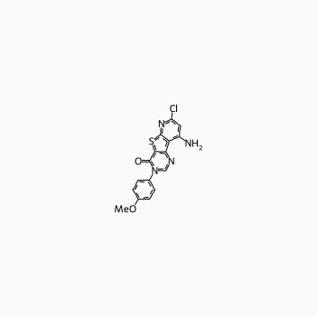 COc1ccc(-n2cnc3c(sc4nc(Cl)cc(N)c43)c2=O)cc1